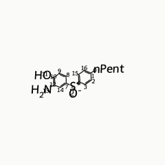 CCCCCc1ccc([S+]([O-])c2ccc(O)c(N)c2)cc1